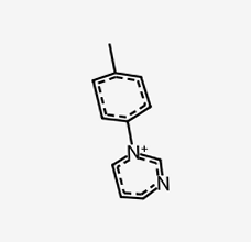 Cc1ccc(-[n+]2cccnc2)cc1